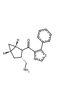 NC[C@@H]1C[C@@H]2C[C@@H]2N1C(=O)c1ncsc1-c1ccccc1